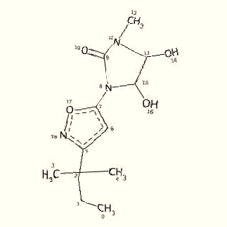 CCC(C)(C)c1cc(N2C(=O)N(C)C(O)C2O)on1